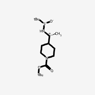 C[C@@H](N[S+]([O-])C(C)(C)C)C1CCN(C(=O)OC(C)(C)C)CC1